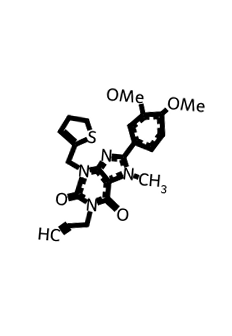 C#CCn1c(=O)c2c(nc(-c3ccc(OC)c(OC)c3)n2C)n(CC2=CCCS2)c1=O